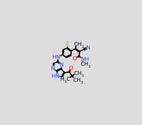 CNC(=O)C(C#N)=C(C)c1ccc(Nc2cnc3[nH]cc(C(=O)C(C)(C)C)c3n2)cc1F